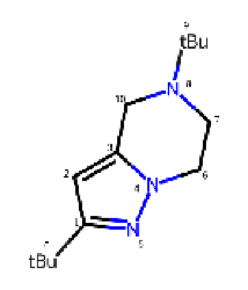 CC(C)(C)c1cc2n(n1)CCN(C(C)(C)C)C2